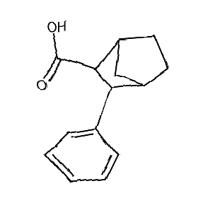 O=C(O)C1C2CCC(C2)C1c1ccccc1